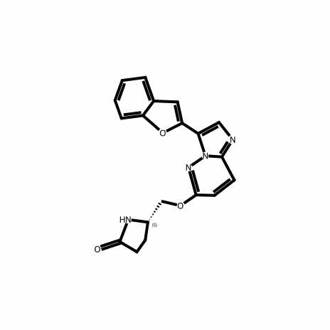 O=C1CC[C@@H](COc2ccc3ncc(-c4cc5ccccc5o4)n3n2)N1